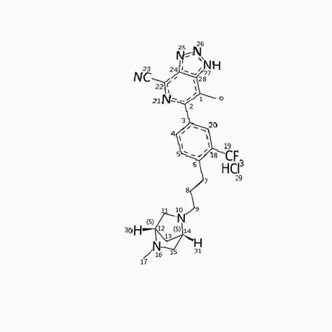 Cc1c(-c2ccc(CCCN3C[C@@H]4C[C@H]3CN4C)c(C(F)(F)F)c2)nc(C#N)c2nn[nH]c12.Cl